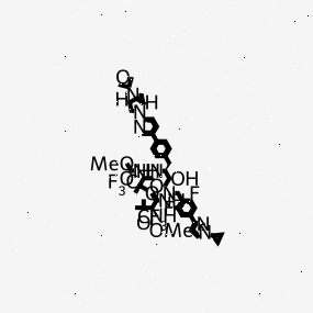 COC(=O)N[C@H](C(=O)N[C@@H](Cc1ccc(-c2ccc(N3C[C@H]4C[C@@H]3CN4C3COC3)nc2)cc1)[C@@H](O)CN(Cc1c(F)cc(-c2ccn(C3CC3)n2)cc1F)NC(=O)[C@@H](NC(=O)OC)C(C)(C)C(F)(F)F)C(C)(C)C(F)(F)F